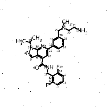 CC(C)n1ncc2c(C(=O)NCc3c(F)cccc3F)cc(-c3cccc(CN(C)CCN)c3)nc21